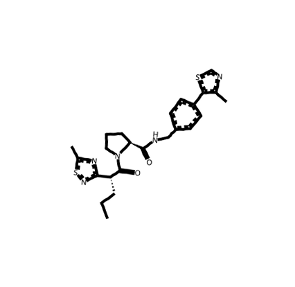 CCC[C@@H](C(=O)N1CCC[C@H]1C(=O)NCc1ccc(-c2scnc2C)cc1)c1nsc(C)n1